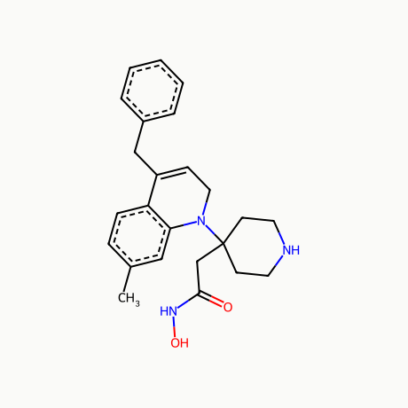 Cc1ccc2c(c1)N(C1(CC(=O)NO)CCNCC1)CC=C2Cc1ccccc1